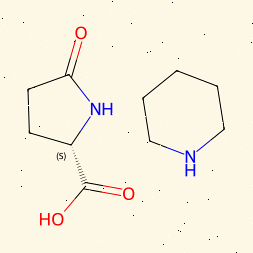 C1CCNCC1.O=C1CC[C@@H](C(=O)O)N1